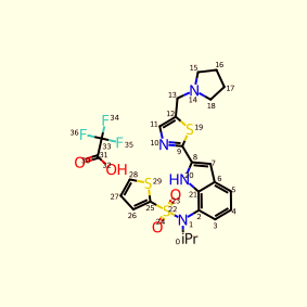 CC(C)N(c1cccc2cc(-c3ncc(CN4CCCC4)s3)[nH]c12)S(=O)(=O)c1cccs1.O=C(O)C(F)(F)F